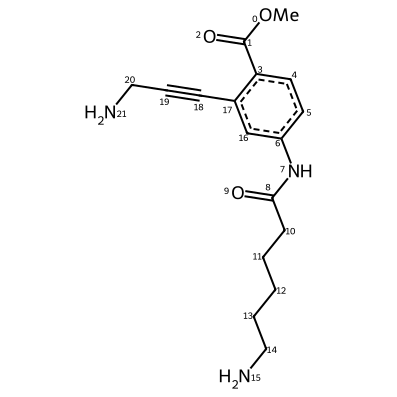 COC(=O)c1ccc(NC(=O)CCCCCN)cc1C#CCN